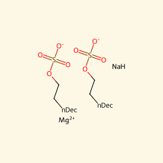 CCCCCCCCCCCCOS(=O)(=O)[O-].CCCCCCCCCCCCOS(=O)(=O)[O-].[Mg+2].[NaH]